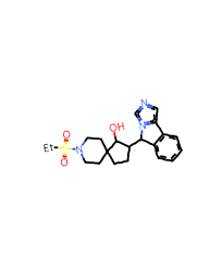 CCS(=O)(=O)N1CCC2(CCC(C3c4ccccc4-c4cncn43)C2O)CC1